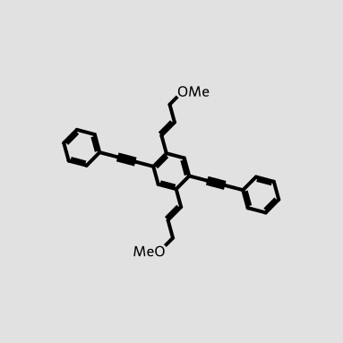 COC/C=C/c1cc(C#Cc2ccccc2)c(/C=C/COC)cc1C#Cc1ccccc1